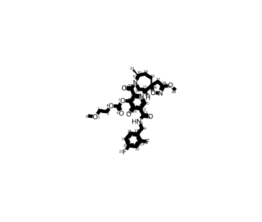 COCCOC(=O)Oc1c2n(cc(C(=O)NCc3ccc(F)cc3F)c1=O)[C@@H]1CN(C2=O)[C@@H](C)CC[C@]12CC(OC)=NO2